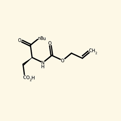 C=CCOC(=O)N[C@@H](CC(=O)O)C(=O)CCCC